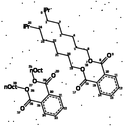 CC(C)CCCCCCOC(=O)c1ccccc1C(=O)OCCCCCCC(C)C.CCCCCCCCOC(=O)c1ccccc1C(=O)OCCCCCCCC